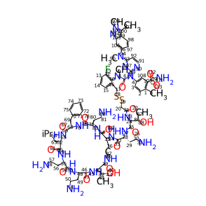 Cc1ccc(N(C(=O)N(C)c2c(F)cccc2CSSCC(=O)N[C@H](C(=O)N[C@H](CCN)C(=O)N[C@H]2CCNC(=O)[C@@H]([C@@H](C)O)NC(=O)[C@@H](CCN)NC(=O)[C@@H](CCN)NC(=O)[C@@H](CC(C)C)NC(=O)[C@@H](Cc3ccccc3)NC(=O)[C@@H](CCN)NC2=O)[C@@H](C)O)c2nccc(N(C)c3ccc4c(C)n(C)nc4c3)n2)cc1S(N)(=O)=O